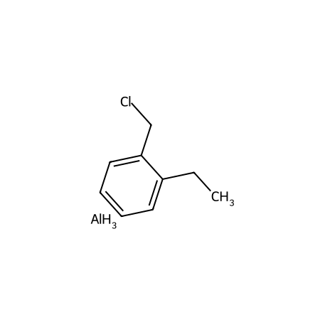 CCc1ccccc1CCl.[AlH3]